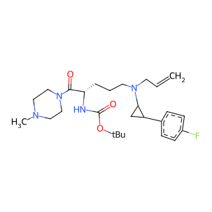 C=CCN(CCC[C@H](NC(=O)OC(C)(C)C)C(=O)N1CCN(C)CC1)C1CC1c1ccc(F)cc1